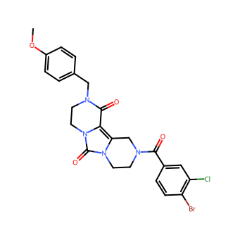 COc1ccc(CN2CCn3c(c4n(c3=O)CCN(C(=O)c3ccc(Br)c(Cl)c3)C4)C2=O)cc1